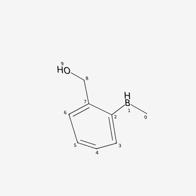 CBc1ccccc1CO